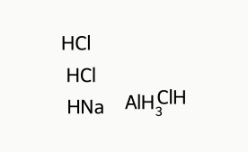 Cl.Cl.Cl.[AlH3].[NaH]